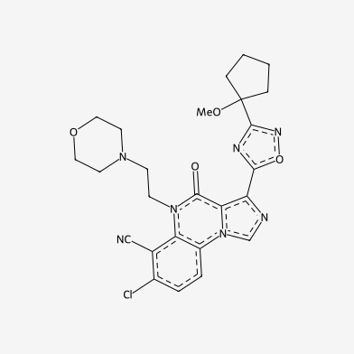 COC1(c2noc(-c3ncn4c3c(=O)n(CCN3CCOCC3)c3c(C#N)c(Cl)ccc34)n2)CCCC1